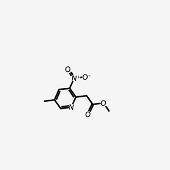 COC(=O)Cc1ncc(C)cc1[N+](=O)[O-]